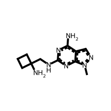 Cn1ncc2c(N)nc(NCC3(N)CCC3)nc21